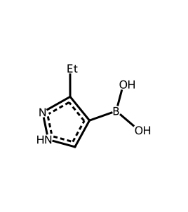 CCc1n[nH]cc1B(O)O